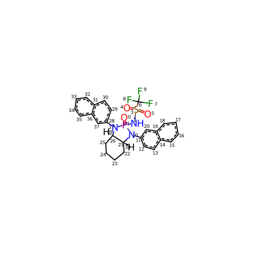 O=P1(NS(=O)(=O)C(F)(F)F)N(c2ccc3ccccc3c2)[C@@H]2CCCC[C@H]2N1c1ccc2ccccc2c1